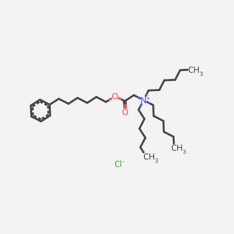 CCCCCC[N+](CCCCCC)(CCCCCC)CC(=O)OCCCCCCc1ccccc1.[Cl-]